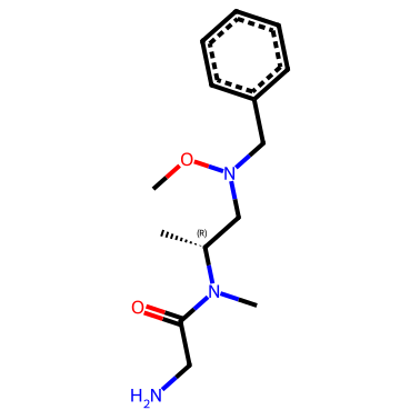 CON(Cc1ccccc1)C[C@@H](C)N(C)C(=O)CN